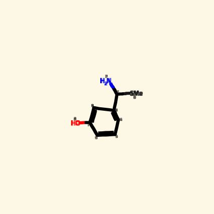 CSC(N)c1cccc(O)c1